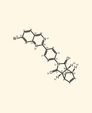 O=C1[C@@H]2[C@@H]3C=CC(C3)[C@@H]2C(=O)N1c1ccc(-c2ncc3ccc(Br)cc3n2)cc1